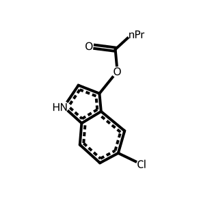 CCCC(=O)Oc1c[nH]c2ccc(Cl)cc12